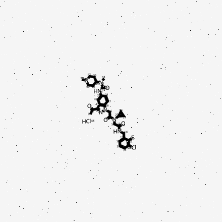 CC(=O)c1nn(CC(=O)N(CC(=O)NCc2cccc(Cl)c2F)C2CC2)c2ccc(NC(=O)N(C)C3CCN(C)CC3)cc12.Cl